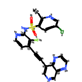 Cc1ncc(Cl)cc1S(=O)(=O)Nc1nccc(C#Cc2cncc3nccnc23)c1F